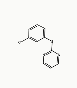 Clc1cccc(Sc2ncccn2)c1